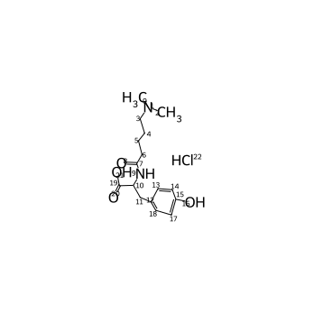 CN(C)CCCCC(=O)NC(Cc1ccc(O)cc1)C(=O)O.Cl